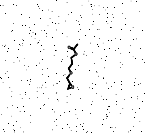 CC(=O)OCCCOCC1CO1